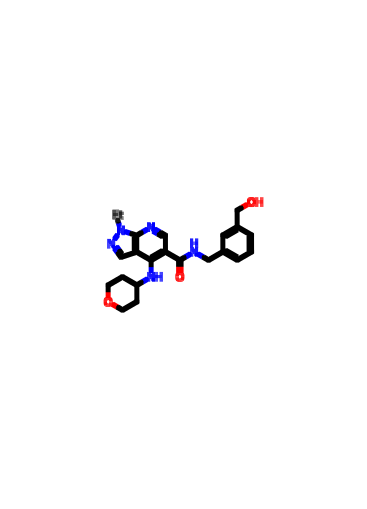 CCn1ncc2c(NC3CCOCC3)c(C(=O)NCc3cccc(CO)c3)cnc21